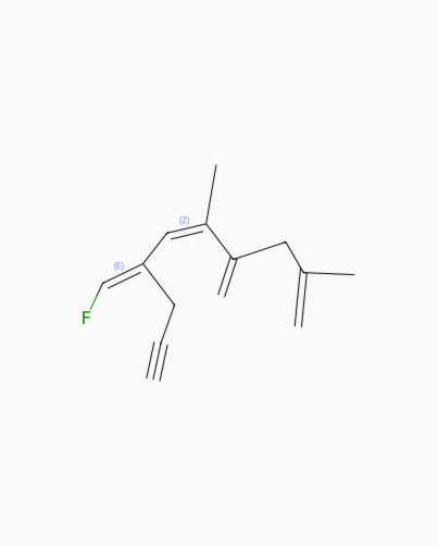 C#CCC(/C=C(/C)C(=C)CC(=C)C)=C\F